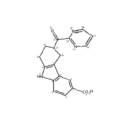 O=C(O)c1ccc2[nH]c3c(c2c1)CN(C(=O)c1ncccn1)CC3